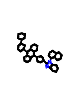 c1ccc(-c2cccc(-c3c4ccccc4c(-c4ccc(-c5nc6ccccc6n5-c5cccc6ccccc56)cc4)c4ccccc34)c2)cc1